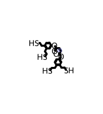 O=C(/C=C\C(=O)Oc1ccc(CCS)c(CCS)c1)Oc1ccc(CCS)c(CCS)c1